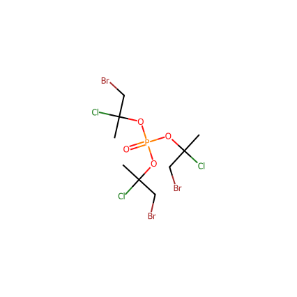 CC(Cl)(CBr)OP(=O)(OC(C)(Cl)CBr)OC(C)(Cl)CBr